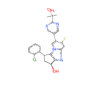 CC(C)(O)c1ncc(-c2cn3c4c(nc3cc2F)[C@@H](O)CC4c2ccccc2Cl)cn1